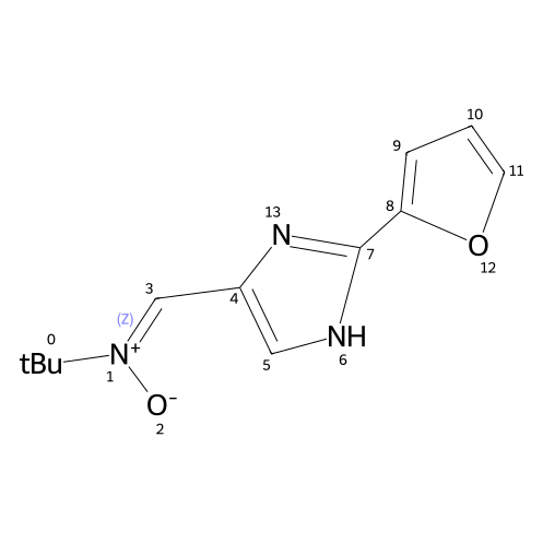 CC(C)(C)/[N+]([O-])=C/c1c[nH]c(-c2ccco2)n1